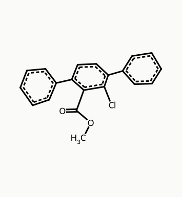 COC(=O)c1c(-c2ccccc2)ccc(-c2ccccc2)c1Cl